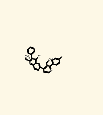 CCc1nc2ccc(-c3ccnc(-c4ccc(F)cc4)c3CO)cc2c(Cl)c1-c1ccccc1